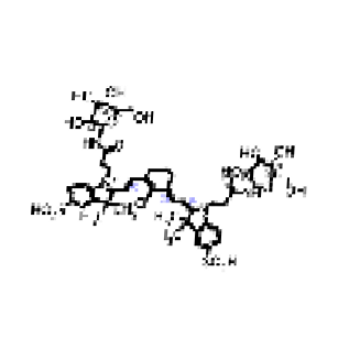 CC1(C)C(/C=C/C2=C(Cl)C(=C/C=C3/N(CCC(=O)NC4O[C@@H](CO)[C@H](O)[C@@H](O)[C@H]4O)c4ccc(S(=O)(=O)O)cc4C3(C)C)/CCC2)=[N+](CCC(=O)NC2O[C@H](CO)[C@@H](O)[C@H](O)[C@@H]2O)c2ccc(S(=O)(=O)O)cc21